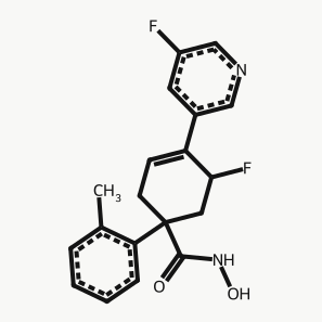 Cc1ccccc1C1(C(=O)NO)CC=C(c2cncc(F)c2)C(F)C1